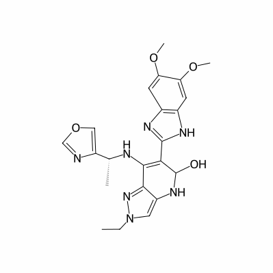 CCn1cc2c(n1)C(N[C@H](C)c1cocn1)=C(c1nc3cc(OC)c(OC)cc3[nH]1)C(O)N2